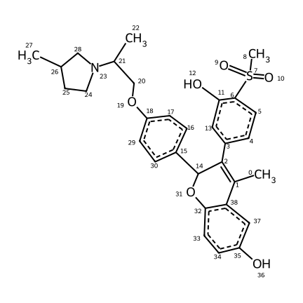 CC1=C(c2ccc(S(C)(=O)=O)c(O)c2)C(c2ccc(OCC(C)N3CCC(C)C3)cc2)Oc2ccc(O)cc21